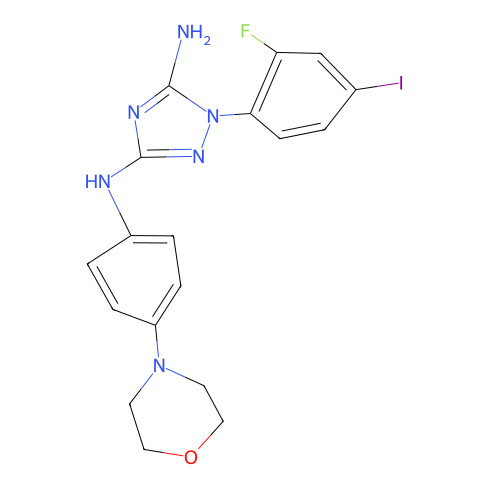 Nc1nc(Nc2ccc(N3CCOCC3)cc2)nn1-c1ccc(I)cc1F